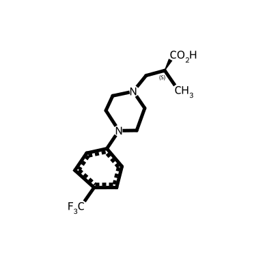 C[C@@H](CN1CCN(c2ccc(C(F)(F)F)cc2)CC1)C(=O)O